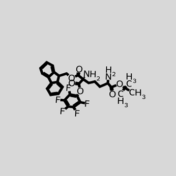 CC(C)(C)OC(=O)C(N)CCC[C@@](N)(C(=O)OCC1c2ccccc2-c2ccccc21)C(=O)Oc1c(F)c(F)c(F)c(F)c1F